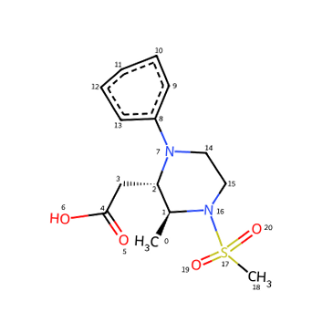 C[C@H]1[C@H](CC(=O)O)N(c2ccccc2)CCN1S(C)(=O)=O